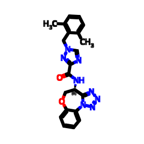 Cc1cccc(C)c1Cn1cnc(C(=O)N[C@H]2COc3ccccc3-n3nnnc32)n1